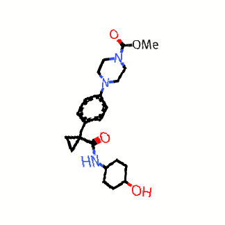 COC(=O)N1CCN(c2ccc(C3(C(=O)NC4CCC(O)CC4)CC3)cc2)CC1